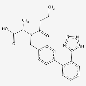 CCCC(=O)N(Cc1ccc(-c2ccccc2-c2nnn[nH]2)cc1)[C@@H](C)C(=O)O